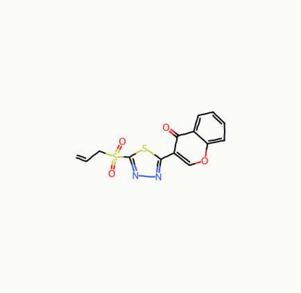 C=CCS(=O)(=O)c1nnc(-c2coc3ccccc3c2=O)s1